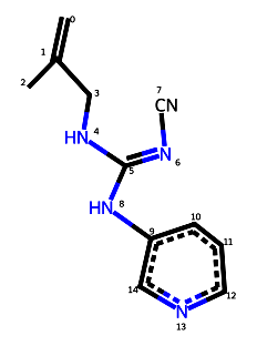 C=C(C)CNC(=NC#N)Nc1cccnc1